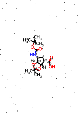 CC(C)(C)OC(=O)N[C@@H]1C[C@H](C(=O)O)[C@H]2OC(C)(C)O[C@H]21